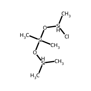 C[SiH](C)O[Si](C)(C)O[SiH](C)Cl